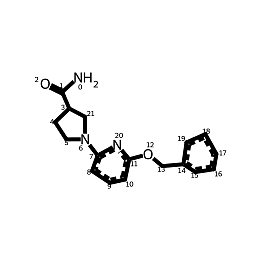 NC(=O)C1CCN(c2cccc(OCc3ccccc3)n2)C1